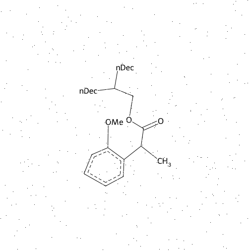 CCCCCCCCCCC(CCCCCCCCCC)COC(=O)C(C)c1ccccc1OC